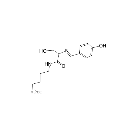 CCCCCCCCCCCCCCNC(=O)C(CO)N=Cc1ccc(O)cc1